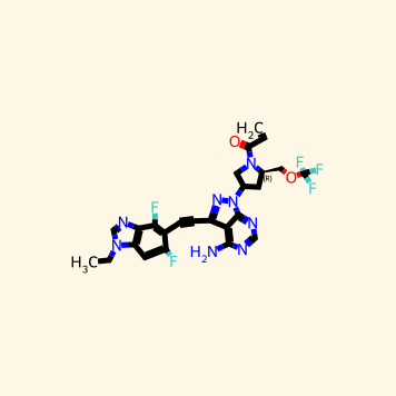 C=CC(=O)N1CC(n2nc(C#Cc3c(F)cc4c(ncn4CC)c3F)c3c(N)ncnc32)C[C@@H]1COC(F)(F)F